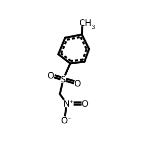 Cc1ccc(S(=O)(=O)C[N+](=O)[O-])cc1